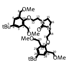 COCc1cc(C(C)(C)C)cc(COC)c1OCCN1CCN(CCOc2c(COC)cc(C(C)(C)C)cc2COC)C1=O